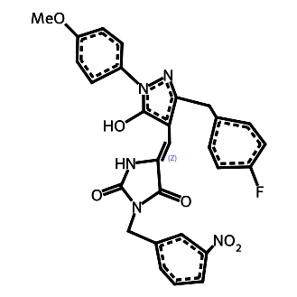 COc1ccc(-n2nc(Cc3ccc(F)cc3)c(/C=C3\NC(=O)N(Cc4cccc([N+](=O)[O-])c4)C3=O)c2O)cc1